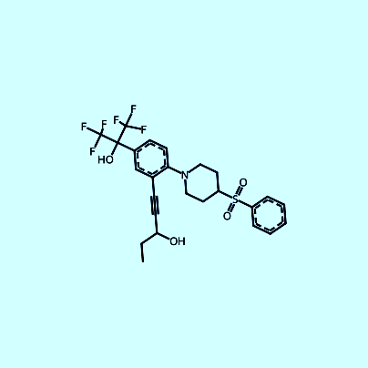 CCC(O)C#Cc1cc(C(O)(C(F)(F)F)C(F)(F)F)ccc1N1CCC(S(=O)(=O)c2ccccc2)CC1